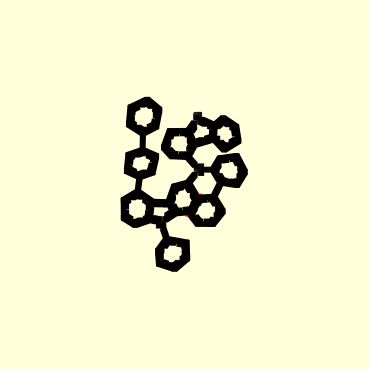 c1ccc(-c2ccc(-c3cccc4c3c3cc(N(c5ccccc5-c5ccccc5)c5cccc6sc7ccccc7c56)ccc3n4-c3ccccc3)cc2)cc1